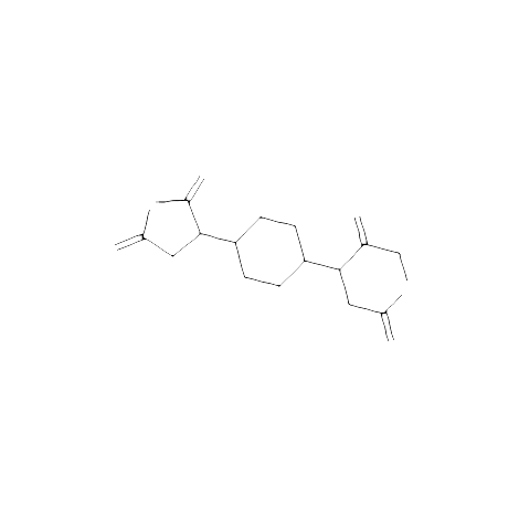 O=C1CC(C2CCC(C3CC(=O)OC3=O)CC2)C(=O)CO1